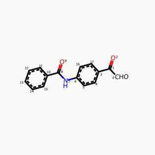 O=CC(=O)c1ccc(NC(=O)c2ccccc2)cc1